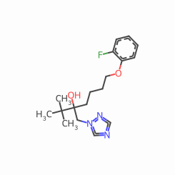 CC(C)(C)C(O)(CCCCOc1ccccc1F)Cn1cncn1